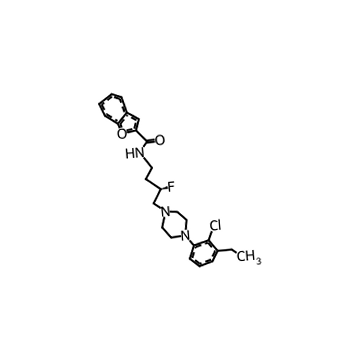 CCc1cccc(N2CCN(C[C@H](F)CCNC(=O)c3cc4ccccc4o3)CC2)c1Cl